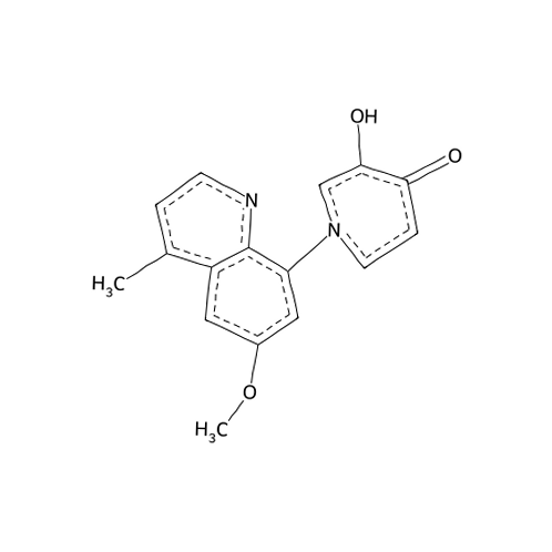 COc1cc(-n2ccc(=O)c(O)c2)c2nccc(C)c2c1